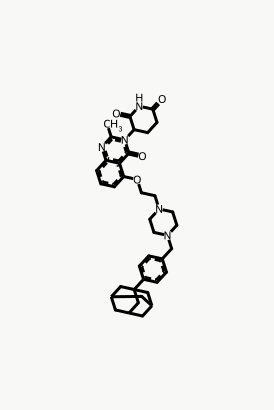 Cc1nc2cccc(OCCN3CCN(Cc4ccc(C56CC7CC(CC(C7)C5)C6)cc4)CC3)c2c(=O)n1C1CCC(=O)NC1=O